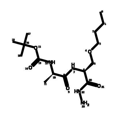 CCCCOC[C@H](NC(=O)[C@H](C)NC(=O)OC(C)(C)C)C(=O)NN